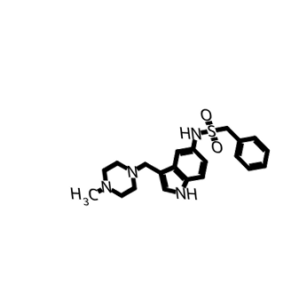 CN1CCN(Cc2c[nH]c3ccc(NS(=O)(=O)Cc4ccccc4)cc23)CC1